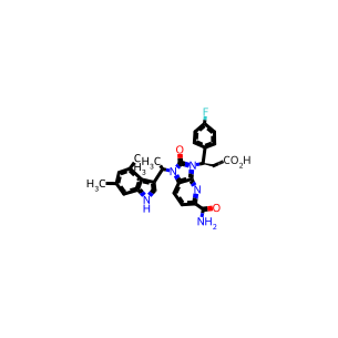 Cc1cc(C)c2c(C(C)n3c(=O)n([C@H](CC(=O)O)c4ccc(F)cc4)c4nc(C(N)=O)ccc43)c[nH]c2c1